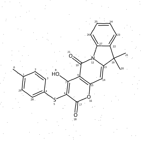 Cc1ccc(Sc2c(O)c3c(=O)n4c(cc3oc2=O)C(C)(C)c2ccccc2-4)cc1